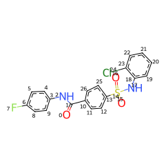 O=C(Nc1ccc(F)cc1)c1ccc(S(=O)(=O)Nc2ccccc2Cl)cc1